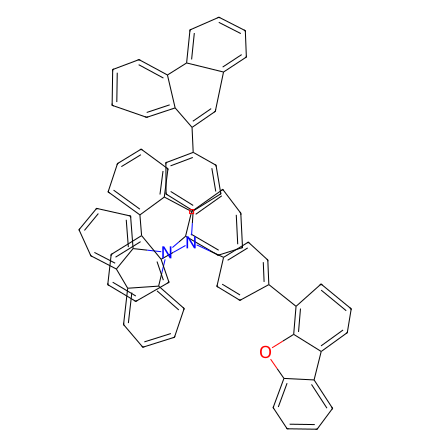 c1ccc(-c2ccccc2-n2c3ccccc3c3ccccc32)c(-c2ccccc2N(c2ccc(-c3cc4ccccc4c4ccccc34)cc2)c2ccc(-c3cccc4c3oc3ccccc34)cc2)c1